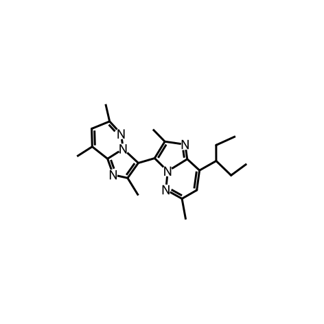 CCC(CC)c1cc(C)nn2c(-c3c(C)nc4c(C)cc(C)nn34)c(C)nc12